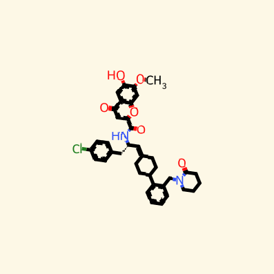 COc1cc2oc(C(=O)N[C@H](C=C3CCC(c4ccccc4CN4CCCCC4=O)CC3)Cc3ccc(Cl)cc3)cc(=O)c2cc1O